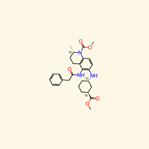 COC(=O)[C@H]1CCC[C@H](Nc2ccc3c(c2NC(=O)Cc2ccccc2)CC[C@H](C)N3C(=O)OC)C1